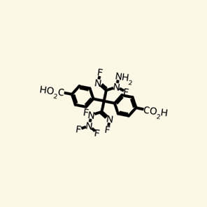 NN(F)C(=NF)C(C(=NF)N(F)N(F)F)(c1ccc(C(=O)O)cc1)c1ccc(C(=O)O)cc1